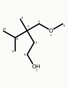 COCC(C)(CCO)C(C)C